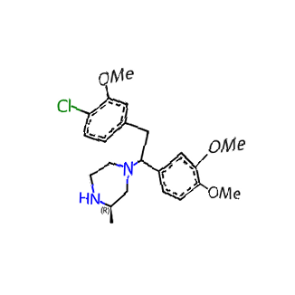 COc1cc(CC(c2ccc(OC)c(OC)c2)N2CCN[C@H](C)C2)ccc1Cl